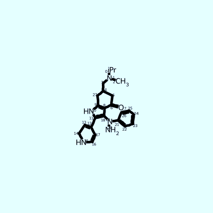 CC(C)N(C)CC1CC(=O)c2c([nH]c(C3=CCNC=C3)c2N(N)c2ccccc2)C1